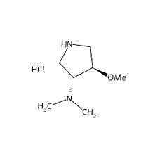 CO[C@@H]1CNC[C@H]1N(C)C.Cl